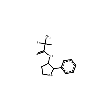 CC(F)(F)C(=O)NC1CCNC1c1ccccc1